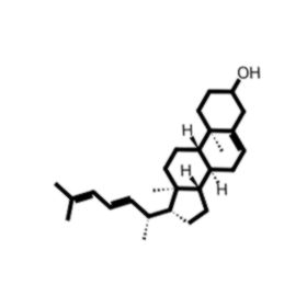 CC(C)=CC=C[C@@H](C)[C@H]1CC[C@H]2[C@@H]3CC=C4CC(O)CC[C@]4(C)[C@H]3CC[C@]12C